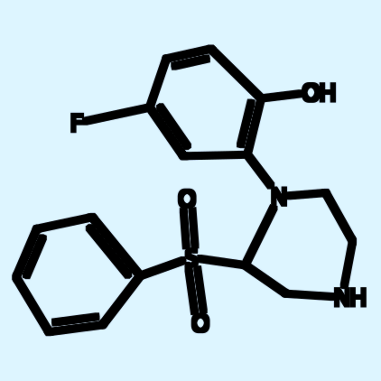 O=S(=O)(c1ccccc1)C1CNCCN1c1cc(F)ccc1O